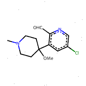 COC1(c2cc(Cl)cnc2C=O)CCN(C)CC1